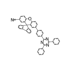 N#Cc1ccc2c(c1)C1(c3cc(-c4ccc(-c5nc(-c6ccccc6)nc(-c6ccccc6)n5)cc4)ccc3O2)c2ccccc2-c2ccccc21